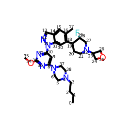 CCCCN1CCN(c2cc(-n3ncc4cc(C)c(C5CCN(C6COC6)CC5F)cc43)nc(OC)n2)CC1